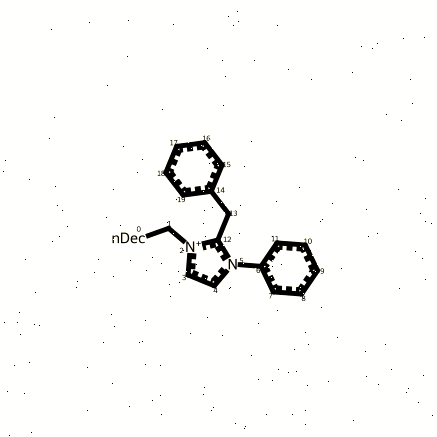 CCCCCCCCCCC[n+]1ccn(-c2ccccc2)c1Cc1ccccc1